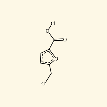 O=C(OCl)c1ccc(CCl)o1